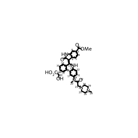 COC(=O)c1ccc2c(c1)NC(=O)C2=C(Nc1ccc(N(C)C(=O)CN2CCN(C)CC2)cc1)c1ccccc1.O=C(O)CO